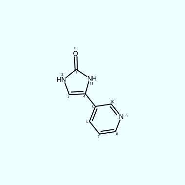 O=c1[nH]cc(-c2cccnc2)[nH]1